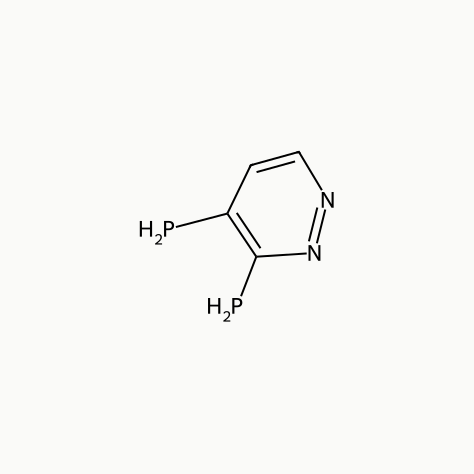 Pc1ccnnc1P